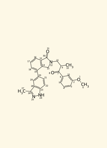 COc1cccc(C(=O)C(C)CN2Cc3c(cccc3-c3ccc4[nH]nc(C)c4c3)C2=O)c1